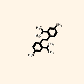 CC(C)c1cc(N)ccc1CCc1ccc(N)cc1C(C)C